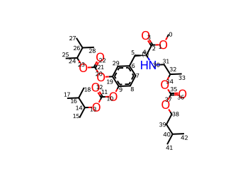 COC(=O)[C@H](Cc1ccc(OC(=O)OC(C)C(C)C)c(OC(=O)OC(C)C(C)C)c1)NCC(C)OC(=O)OCCC(C)C